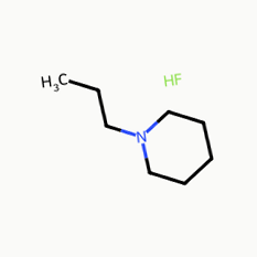 CCCN1CCCCC1.F